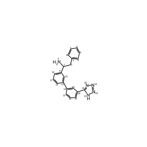 NC(Cc1ccccc1)c1cccc(-c2cccc(-c3nnn[nH]3)c2)c1